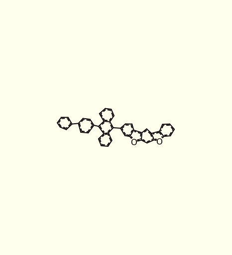 c1ccc(-c2ccc(-c3c4ccccc4c(-c4ccc5c(c4)oc4cc6oc7ccccc7c6cc45)c4ccccc34)cc2)cc1